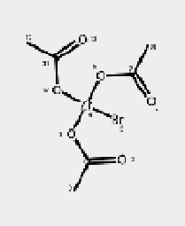 CC(=O)[O][Zr]([Br])([O]C(C)=O)[O]C(C)=O